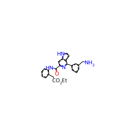 CCOC(=O)Cc1ccccc1NC(=O)c1cc2[nH]ccc2c(-c2cccc(CN)c2)n1